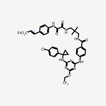 CCOC(=O)/C=C/c1ccc(NC(=O)C(=O)NCC(C)(C)CNC(=O)c2ccc(Nc3nc(NC4(c5ccc(Cl)cc5)CC4)nc(OCC(F)(F)F)n3)cc2)cc1